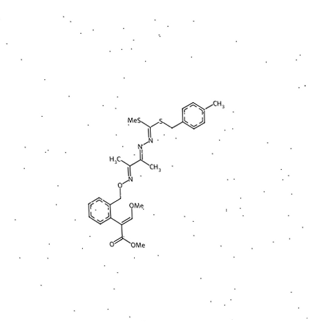 CO/C=C(/C(=O)OC)c1ccccc1CO/N=C(C)/C(C)=N/N=C(\SC)SCc1ccc(C)cc1